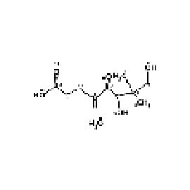 CC(C)(CO)C(O)C(=O)NCCC(=O)O.O